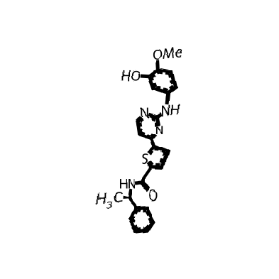 COc1ccc(Nc2nccc(-c3ccc(C(=O)N[C@H](C)c4ccccc4)s3)n2)cc1O